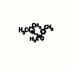 Cc1ccc(C(=O)N(C)CCN2CC(C)CC(C)C2)cc1